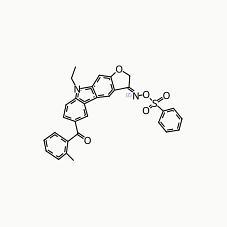 CCn1c2ccc(C(=O)c3ccccc3C)cc2c2cc3c(cc21)OC/C3=N\OS(=O)(=O)c1ccccc1